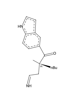 CCCC[C@](C)(CC=N)C(=O)c1ccc2[nH]ccc2c1